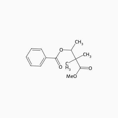 COC(=O)C(C)(C)C(C)OC(=O)c1ccccc1